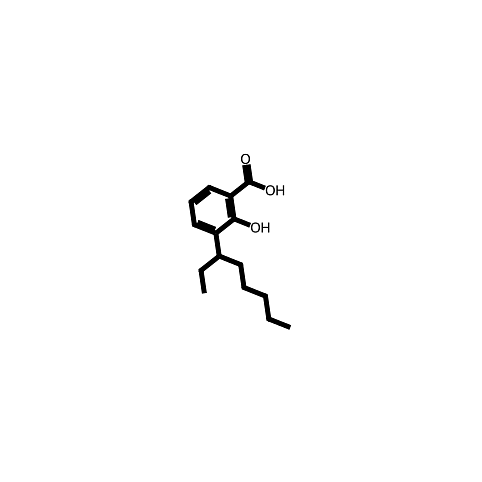 CCCCCC(CC)c1cccc(C(=O)O)c1O